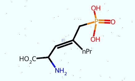 CCC/C(=C\C(N)C(=O)O)CP(=O)(O)O